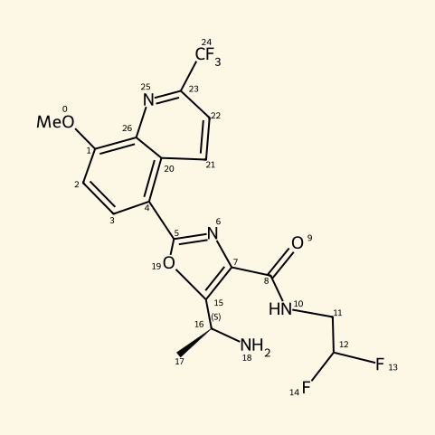 COc1ccc(-c2nc(C(=O)NCC(F)F)c([C@H](C)N)o2)c2ccc(C(F)(F)F)nc12